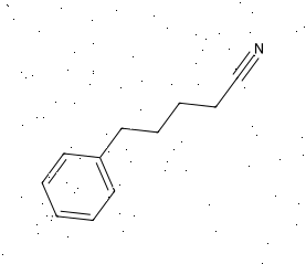 N#CCCCCc1cc[c]cc1